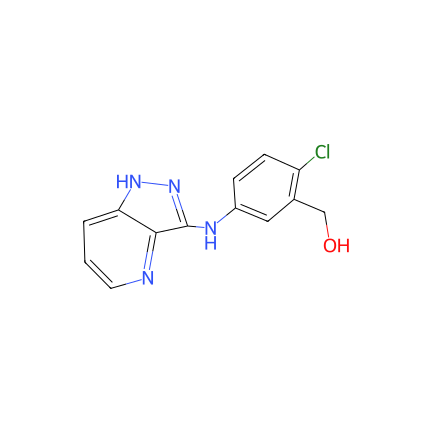 OCc1cc(Nc2n[nH]c3cccnc23)ccc1Cl